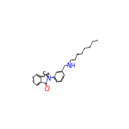 CCCCCCCCNCc1cccc(-n2[se]c3ccccc3c2=O)c1